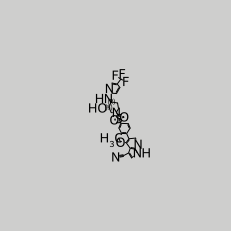 COc1c(-c2ccc(S(=O)(=O)N3CC[C@@H](Nc4ccc(C(F)(F)F)cn4)[C@@H](O)C3)cc2)cnc2[nH]cc(C#N)c12